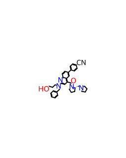 N#Cc1ccc(-c2ccc3nc(N(CCCO)Cc4ccccc4)cc(C(=O)N4CCC[C@H]4CN4CCCC4)c3c2)cc1